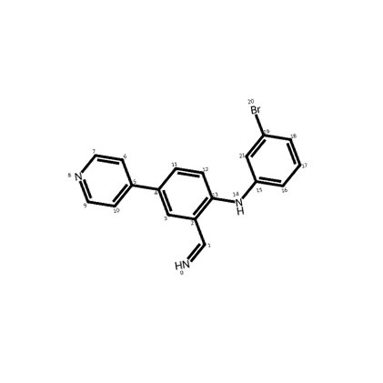 N=Cc1cc(-c2ccncc2)ccc1Nc1cccc(Br)c1